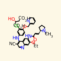 CCOc1cc2ncc(C#N)c(Nc3ccc(OCc4ccccn4)c(Cl)c3)c2cc1NC(=O)/C=C/[C@H]1CCCN1C.O=C(O)CC(O)C(=O)O